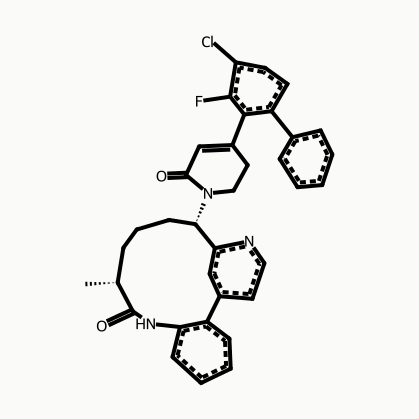 C[C@@H]1CCC[C@H](N2CCC(c3c(-c4ccccc4)ccc(Cl)c3F)=CC2=O)c2cc(ccn2)-c2ccccc2NC1=O